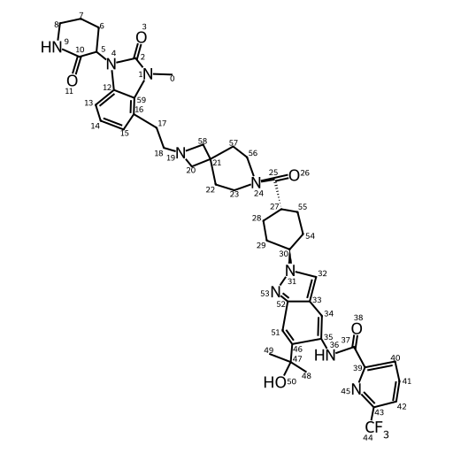 Cn1c(=O)n(C2CCCNC2=O)c2cccc(CCN3CC4(CCN(C(=O)[C@H]5CC[C@H](n6cc7cc(NC(=O)c8cccc(C(F)(F)F)n8)c(C(C)(C)O)cc7n6)CC5)CC4)C3)c21